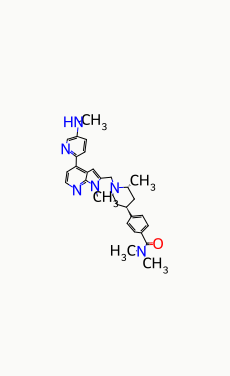 CNc1ccc(-c2ccnc3c2cc(CN2CC[C@H](c4ccc(C(=O)N(C)C)cc4)C[C@H]2C)n3C)nc1